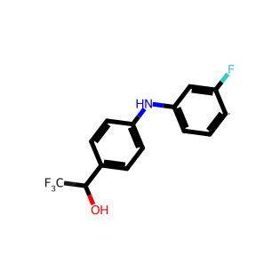 OC(c1ccc(Nc2cc[c]c(F)c2)cc1)C(F)(F)F